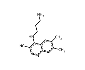 Cc1cc2ncc(C#N)c(NCCCN)c2cc1C